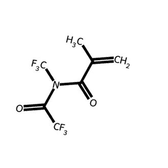 C=C(C)C(=O)N(C(=O)C(F)(F)F)C(F)(F)F